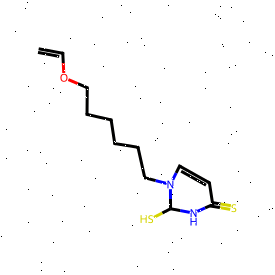 C=COCCCCCCN1C=CC(=S)NC1S